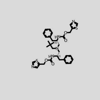 CC(C)(C)CN(C[C@H](Cc1ccccc1)NC(=O)OCc1cncs1)C[C@H](Cc1ccccc1)NC(=O)OCc1cncs1